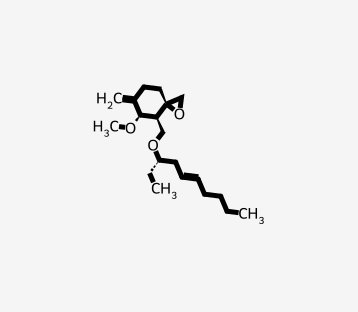 C=C1CC[C@]2(CO2)[C@@H](CO[C@@H](CC)C/C=C/CCCC)[C@@H]1OC